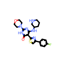 O=c1[nH]c(N2CCOCC2)nc(NC2CCCNC2)c1-c1nc(-c2ccc(F)cc2)cs1